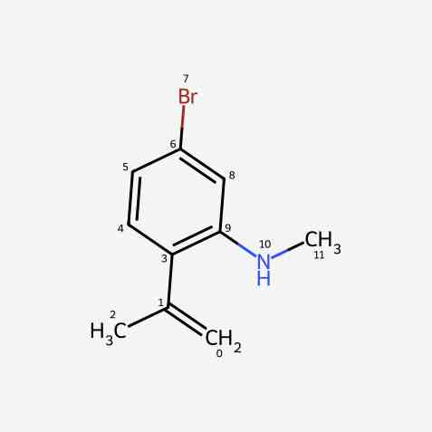 C=C(C)c1ccc(Br)cc1NC